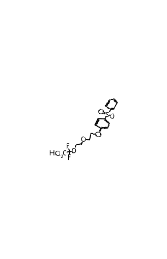 O=C(O)C(F)(F)OCCOCCOc1ccc(S(=O)(=O)c2ccccc2)cc1